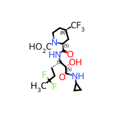 CC(F)(F)CC[C@H](NC(=O)[C@@H]1C[C@H](C(F)(F)F)CCN1C(=O)O)[C@H](O)C(=O)NC1CC1